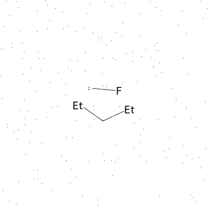 CCCCC.[CH]F